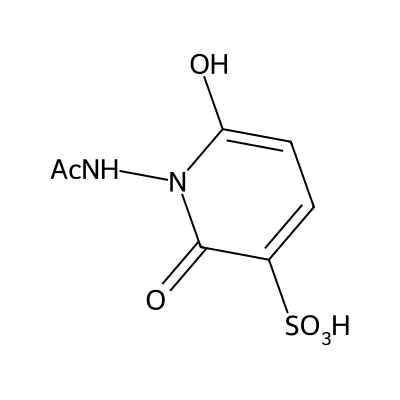 CC(=O)Nn1c(O)ccc(S(=O)(=O)O)c1=O